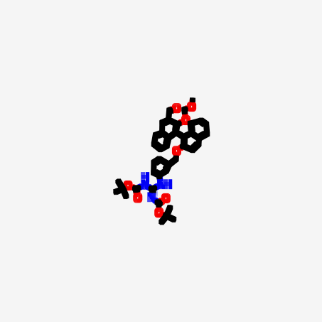 COCOc1c(C=O)cc2ccccc2c1-c1c(OCc2cccc(N/C(=N\C(=O)OC(C)(C)C)NC(=O)OC(C)(C)C)c2)ccc2ccccc12